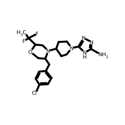 CC(F)(F)C1CN(C2CCN(c3nnc(N)[nH]3)CC2)C(Cc2ccc(Cl)cc2)CO1